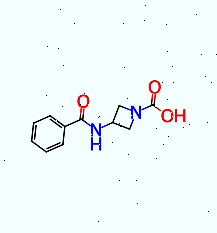 O=C(NC1CN(C(=O)O)C1)c1ccccc1